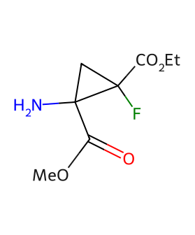 CCOC(=O)C1(F)CC1(N)C(=O)OC